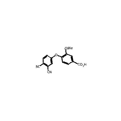 COc1cc(C(=O)O)ccc1Oc1ccc(C#N)c(C#N)c1